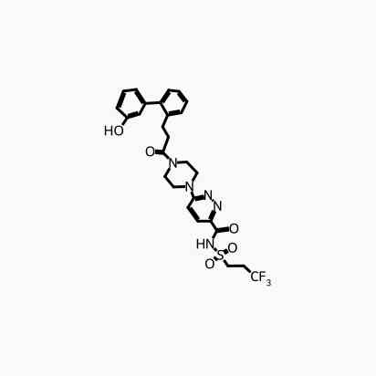 O=C(NS(=O)(=O)CCC(F)(F)F)c1ccc(N2CCN(C(=O)CCc3ccccc3-c3cccc(O)c3)CC2)nn1